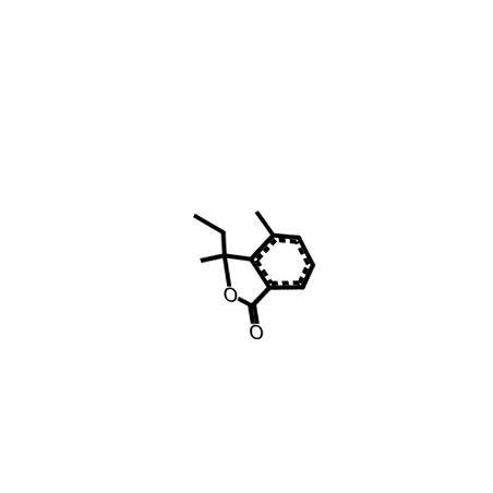 CCC1(C)OC(=O)c2cccc(C)c21